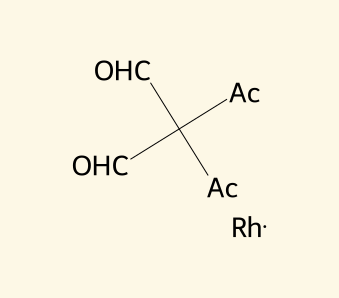 CC(=O)C(C=O)(C=O)C(C)=O.[Rh]